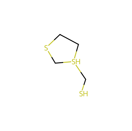 SC[SH]1CCSC1